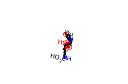 CCC(C)Oc1ccc2c(c1)cc(C=C(C)C(=O)c1c(O)cc(C(C)CCC=CNC(=O)O)oc1=O)n2C